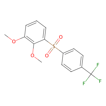 COc1cccc(S(=O)(=O)c2ccc(C(F)(F)F)cc2)c1OC